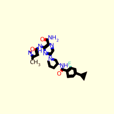 Cc1cc(Nc2nc(N3CCC[C@@H](NC(=O)c4ccc(C5CC5)cc4F)C3)cnc2C(N)=O)on1